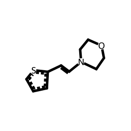 C(=CN1CCOCC1)c1cccs1